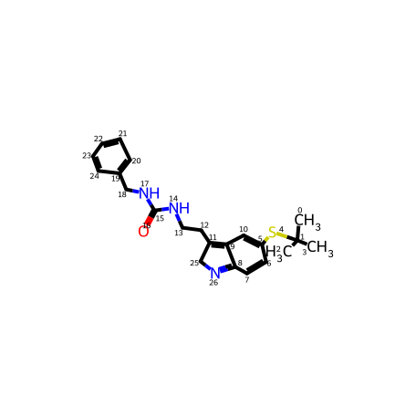 CC(C)(C)Sc1ccc2c(c1)=C(CCNC(=O)NCc1ccccc1)CN=2